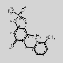 Cc1cccc(Cn2c(C)cc(OS(=O)(=O)C(F)(F)F)cc2=O)n1